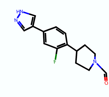 O=CN1CCC(c2ccc(-c3cn[nH]c3)cc2F)CC1